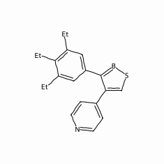 CCc1cc(-c2bscc2-c2ccncc2)cc(CC)c1CC